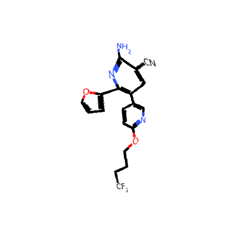 N#Cc1cc(-c2ccc(OCCCC(F)(F)F)nc2)c(-c2ccco2)nc1N